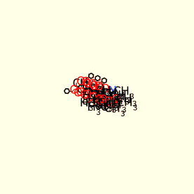 CCN(CC)CCOC(=O)C(C)(CC(C)(CC(C)(CC(C)(CC(C)(CC(C)(CC(C)(CC(C)(CC)C(=O)OCc1ccccc1)C(=O)OCc1ccccc1)C(=O)OCc1ccccc1)C(=O)OCc1ccccc1)C(=O)OCc1ccccc1)C(=O)OCc1ccccc1)C(=O)OCc1ccccc1)C(C)(CC(C)(CC(C)(C)C(=O)O[Si](C)(C)C)C(=O)O[Si](C)(C)C)C(=O)O[Si](C)(C)C